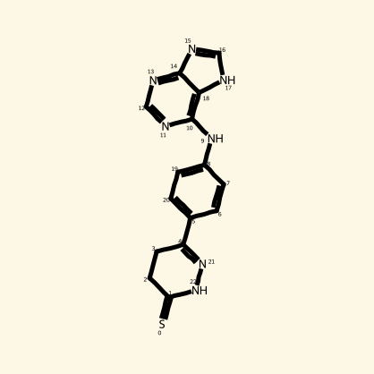 S=C1CCC(c2ccc(Nc3ncnc4nc[nH]c34)cc2)=NN1